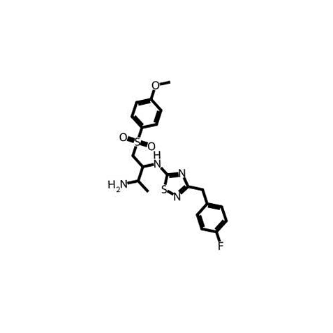 COc1ccc(S(=O)(=O)CC(Nc2nc(Cc3ccc(F)cc3)ns2)C(C)N)cc1